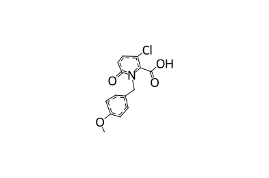 COc1ccc(Cn2c(C(=O)O)c(Cl)ccc2=O)cc1